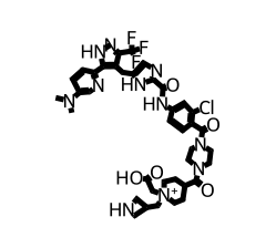 CN(C)c1ccc(-c2[nH]nc(C(F)(F)F)c2Cc2cnc(C(=O)Nc3ccc(C(=O)N4CCN(C(=O)C5CC[N+](CC(=O)O)(CC6CNC6)CC5)CC4)c(Cl)c3)[nH]2)nc1